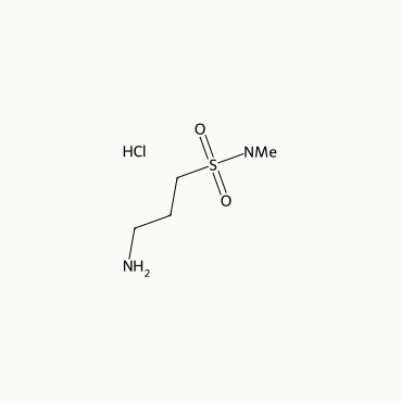 CNS(=O)(=O)CCCN.Cl